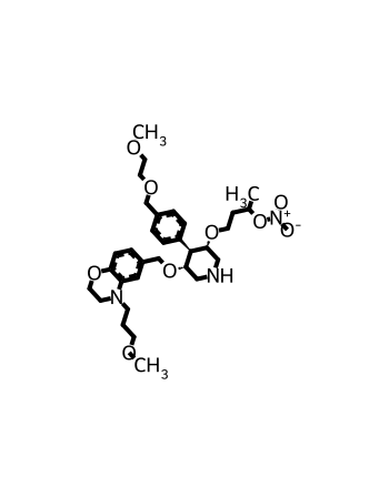 COCCCN1CCOc2ccc(CO[C@H]3CNC[C@@H](OCCC(C)O[N+](=O)[O-])[C@@H]3c3ccc(COCCOC)cc3)cc21